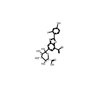 C=C(Br)c1cc(C2(O)O[C@H](C(=O)O)[C@@H](O)[C@H](O)[C@H]2O)cc2nc(-c3ccc(O)cc3F)oc12